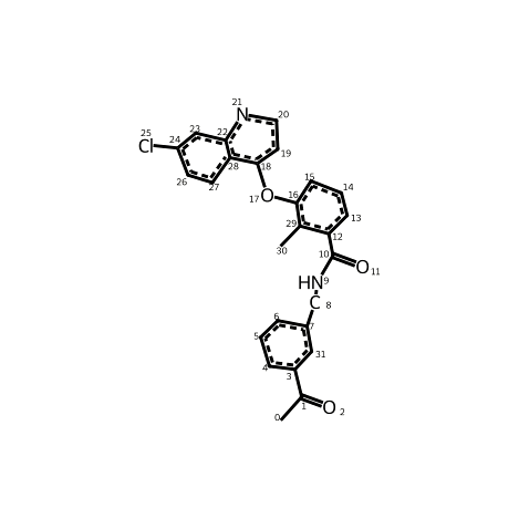 CC(=O)c1cccc(CNC(=O)c2cccc(Oc3ccnc4cc(Cl)ccc34)c2C)c1